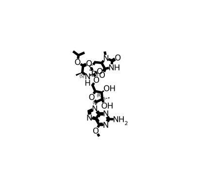 COc1nc(N)nc2c1ncn2[C@@H]1OC(CO[P@](=O)(N[C@@H](C)C(=O)OC(C)C)SCC2C(=O)NC(=O)N2C)[C@@H](O)[C@@]1(C)O